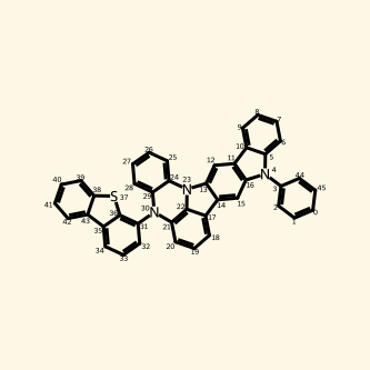 c1ccc(-n2c3ccccc3c3cc4c(cc32)c2cccc3c2n4-c2ccccc2N3c2cccc3c2sc2ccccc23)cc1